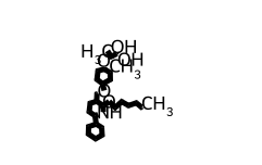 CCCCCCOC1NC(C2CCCCC2)CCC1COC1CCC(OC(C)(C)C(O)O)CC1